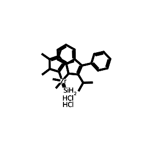 CC1=C(C)C(C)[C]([Zr]([CH3])([CH3])(=[SiH2])[CH]2C(C(C)C)=C(c3ccccc3)c3ccccc32)=C1C.Cl.Cl